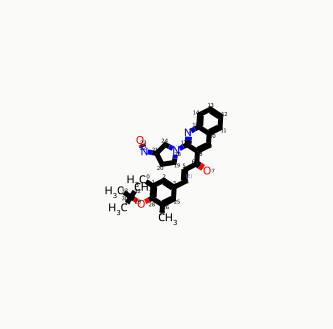 Cc1cc(/C=C/C(=O)c2cc3ccccc3nc2N2CCC(N=O)C2)cc(C)c1OC(C)(C)C